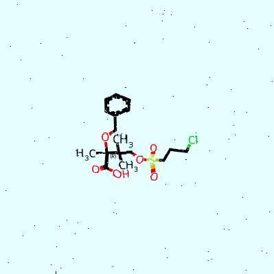 CC(C)(COS(=O)(=O)CCCCl)[C@@](C)(OCc1ccccc1)C(=O)O